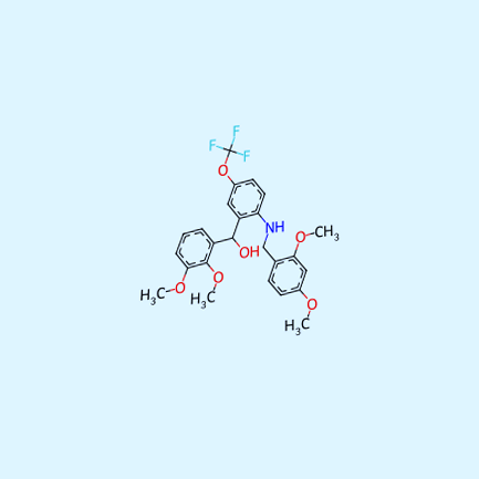 COc1ccc(CNc2ccc(OC(F)(F)F)cc2C(O)c2cccc(OC)c2OC)c(OC)c1